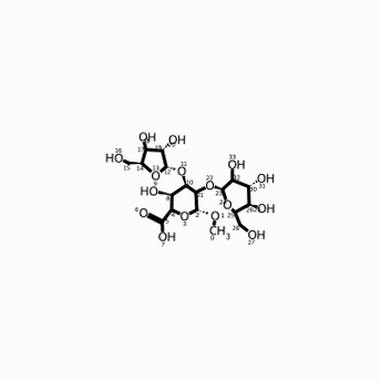 CO[C@@H]1OC(C(=O)O)[C@@H](O)[C@@H](O[C@@H]2O[C@@H](CO)C(O)[C@@H]2O)C1O[C@@H]1OC(CO)[C@H](O)[C@@H](O)C1O